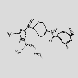 Cc1nc(NC2CCC(NC(=O)c3cc(F)cc(F)c3)CC2)cc(N(C)C)n1.Cl